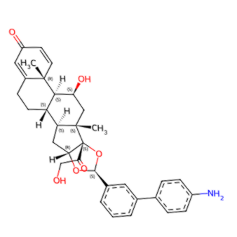 C[C@]12C=CC(=O)C=C1CC[C@@H]1[C@@H]2[C@@H](O)C[C@@]2(C)[C@H]1C[C@H]1O[C@H](c3cccc(-c4ccc(N)cc4)c3)O[C@]12C(=O)CO